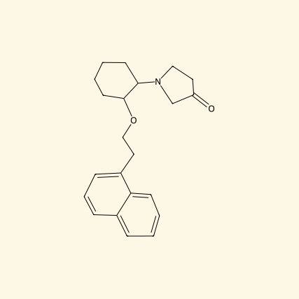 O=C1CCN(C2CCCCC2OCCc2cccc3ccccc23)C1